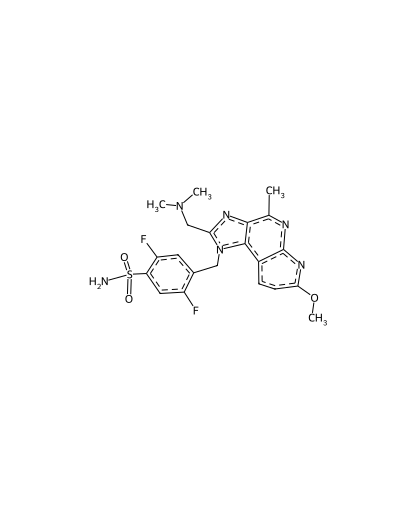 COc1ccc2c(n1)nc(C)c1nc(CN(C)C)n(Cc3cc(F)c(S(N)(=O)=O)cc3F)c12